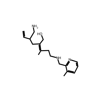 C=CC(CN)C/C(CO)=C(\C)CCNCc1ncccc1C